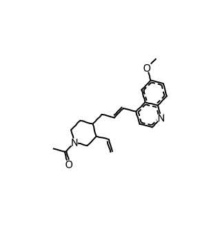 C=CC1CN(C(C)=O)CCC1CC=Cc1ccnc2ccc(OC)cc12